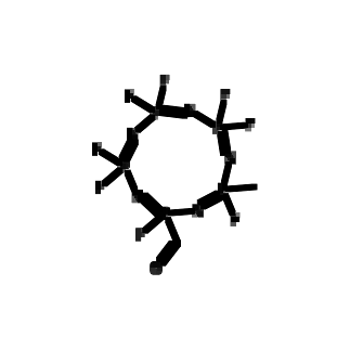 CP1(F)=NP(F)(C=O)=NP(F)(F)=NP(F)(F)=NP(F)(F)=N1